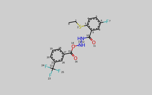 CCSc1ccc(F)cc1C(=O)NNOC(=O)c1cccc(C(F)(F)F)c1